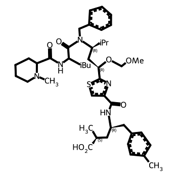 CCC(C)C(NC(=O)C1CCCCN1C)C(=O)N(Cc1ccccc1)[C@H](C[C@@H](OCOC)c1nc(C(=O)N[C@@H](Cc2ccc(C)cc2)C[C@H](C)C(=O)O)cs1)C(C)C